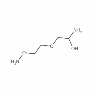 NOCCOCC(N)O